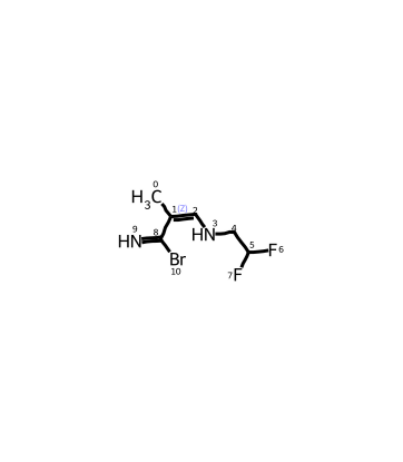 C/C(=C/NCC(F)F)C(=N)Br